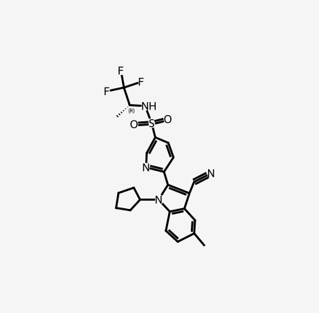 Cc1ccc2c(c1)c(C#N)c(-c1ccc(S(=O)(=O)N[C@H](C)C(F)(F)F)cn1)n2C1CCCC1